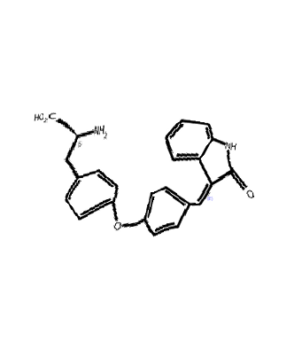 N[C@@H](Cc1ccc(Oc2ccc(/C=C3/C(=O)Nc4ccccc43)cc2)cc1)C(=O)O